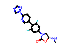 CN[C@@H]1CN(c2cc(F)c(-c3ccc(-n4cncn4)nc3)c(F)c2)C(=O)O1